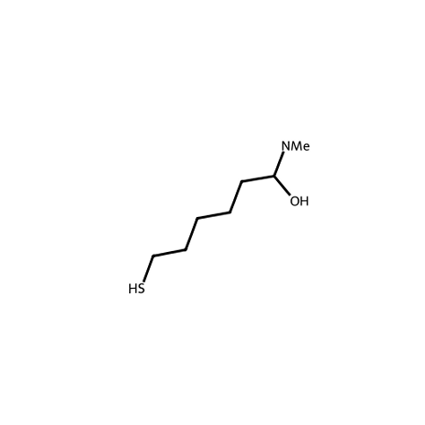 CNC(O)CCCCCS